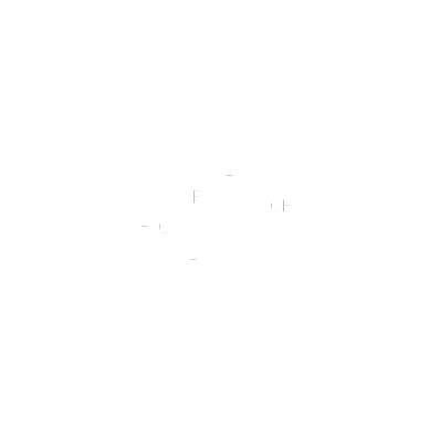 FC(=C(F)C(F)(F)C(F)(F)F)C(F)(F)F